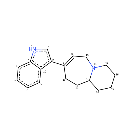 C1=C(c2c[nH]c3ccccc23)CCC2CCCCN2C1